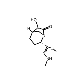 CN/N=C(\OC)[C@@H]1CC[C@H]2CN1C(=O)N2O